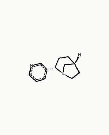 c1cncc([C@@H]2CC[C@@H]3CCN2C3)c1